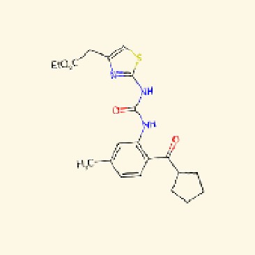 CCOC(=O)Cc1csc(NC(=O)Nc2cc(C)ccc2C(=O)C2CCCC2)n1